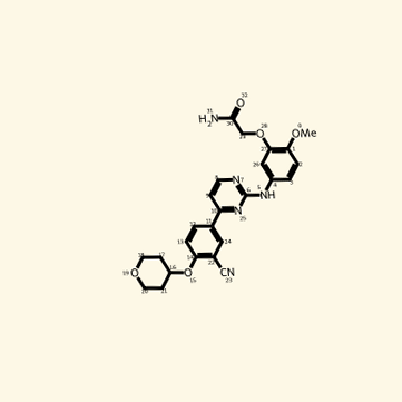 COc1ccc(Nc2nccc(-c3ccc(OC4CCOCC4)c(C#N)c3)n2)cc1OCC(N)=O